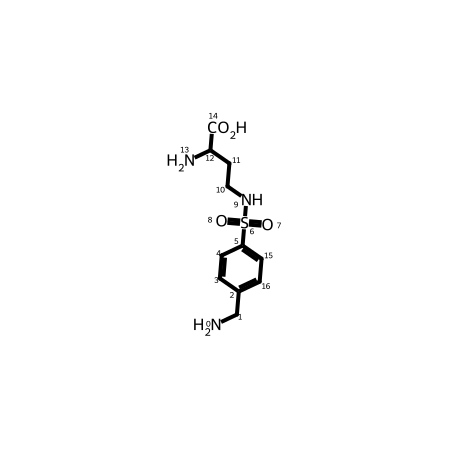 NCc1ccc(S(=O)(=O)NCCC(N)C(=O)O)cc1